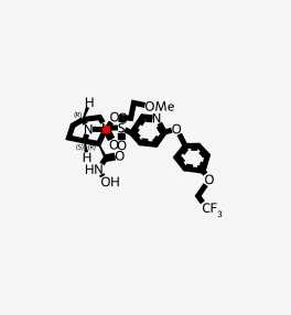 COCCOC(=O)N1[C@@H]2CC[C@H]1[C@H](C(=O)NO)N(S(=O)(=O)c1ccc(Oc3ccc(OCC(F)(F)F)cc3)nc1)C2